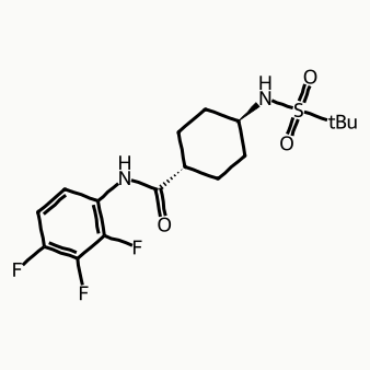 CC(C)(C)S(=O)(=O)N[C@H]1CC[C@H](C(=O)Nc2ccc(F)c(F)c2F)CC1